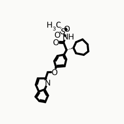 CS(=O)(=O)NC(=O)[C@@H](c1ccc(OCc2ccc3ccccc3n2)cc1)C1CCCCCC1